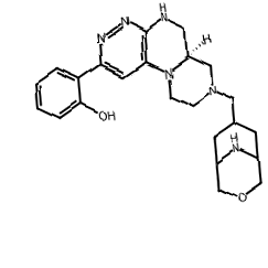 Oc1ccccc1-c1cc2c(nn1)NC[C@H]1CN(CC3CC4COCC(C3)N4)CCN21